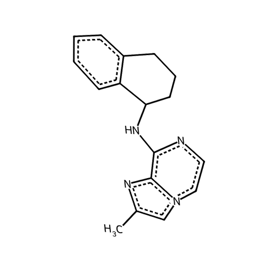 Cc1cn2ccnc(NC3CCCc4ccccc43)c2n1